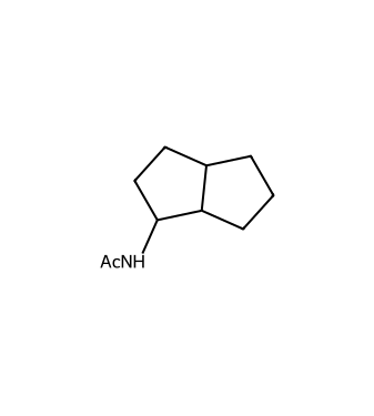 CC(=O)NC1CCC2CCCC21